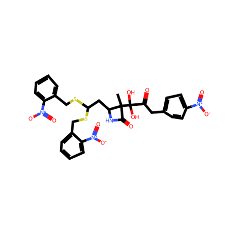 CC1(C(O)(O)C(=O)Cc2ccc([N+](=O)[O-])cc2)C(=O)NC1CC(SCc1ccccc1[N+](=O)[O-])SCc1ccccc1[N+](=O)[O-]